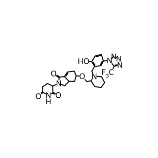 O=C1CCC(N2CC3CC(OCC4CCCCN4Cc4cc(-n5nnnc5C(F)(F)F)ccc4O)CC=C3C2=O)C(=O)N1